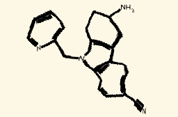 N#Cc1ccc2c(c1)c1c(n2Cc2ccccn2)CCC(N)C1